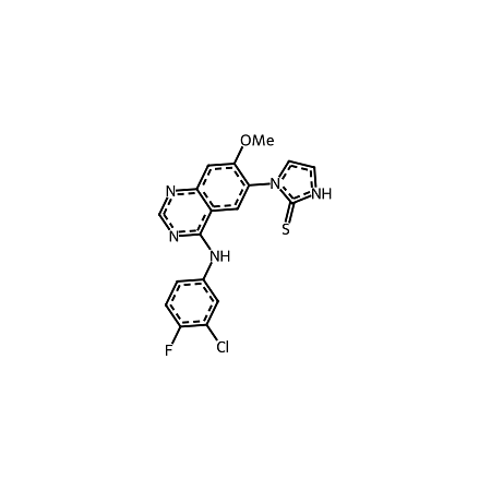 COc1cc2ncnc(Nc3ccc(F)c(Cl)c3)c2cc1-n1cc[nH]c1=S